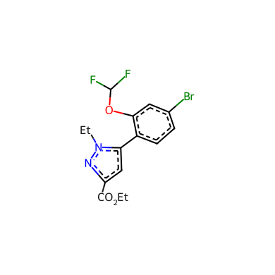 CCOC(=O)c1cc(-c2ccc(Br)cc2OC(F)F)n(CC)n1